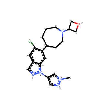 Cn1cc(-n2ncc3cc(Cl)c(C4CCCN(C5COC5)CC4)cc32)cn1